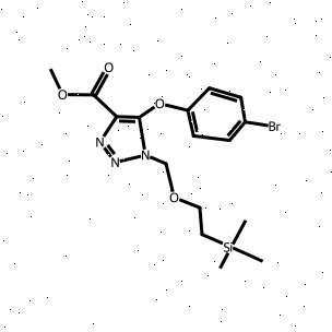 COC(=O)c1nnn(COCC[Si](C)(C)C)c1Oc1ccc(Br)cc1